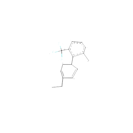 CCC1=CCC(c2c(C)cccc2C(F)(F)F)C=C1